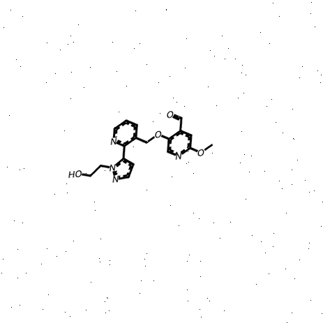 COc1cc(C=O)c(OCc2cccnc2-c2ccnn2CCO)cn1